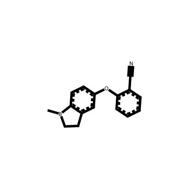 CB1CCc2cc(Oc3ccccc3C#N)ccc21